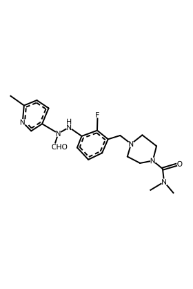 Cc1ccc(N(C=O)Nc2cccc(CN3CCN(C(=O)N(C)C)CC3)c2F)cn1